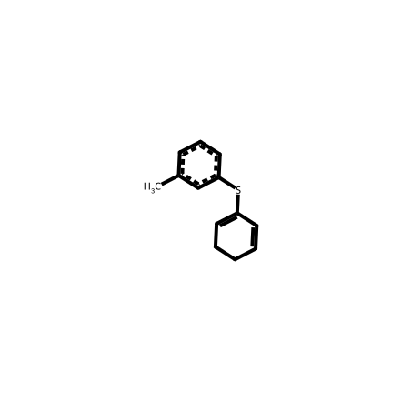 Cc1cccc(SC2=CCCC=C2)c1